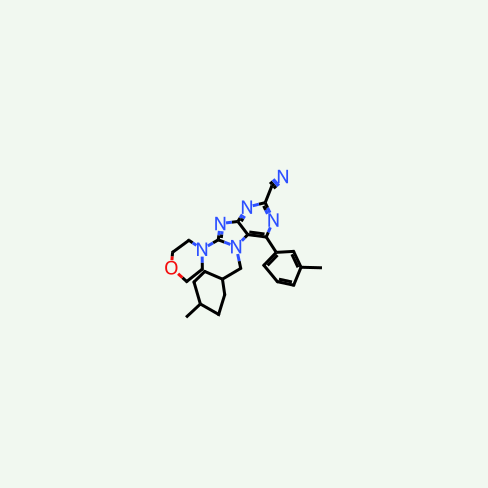 Cc1cccc(-c2nc(C#N)nc3nc(N4CCOCC4)n(CC4CCC(C)CC4)c23)c1